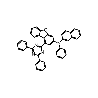 c1ccc(-c2nc(-c3ccccc3)nc(-c3cc(N(c4ccccc4)c4ccc5ccccc5c4)cc4oc5ccccc5c34)n2)cc1